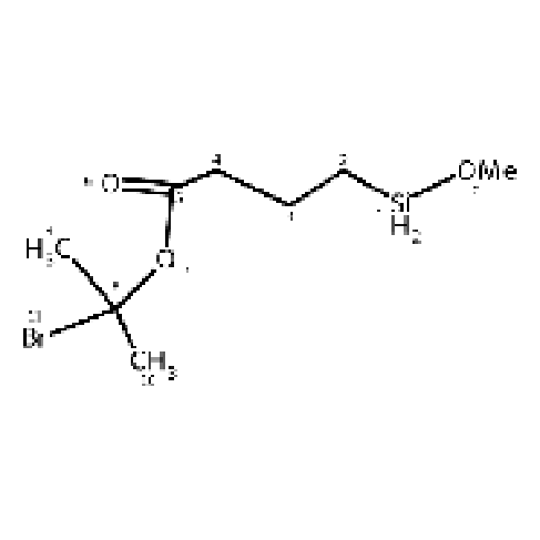 CO[SiH2]CCCC(=O)OC(C)(C)Br